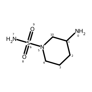 NC1CCCN(S(N)(=O)=O)C1